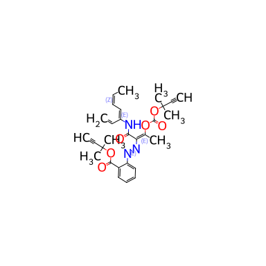 C#CC(C)(C)OC(=O)O/C(C)=C(/N=N/c1ccccc1C(=O)OC(C)(C)C#C)C(=O)N/C(C=C)=C/C=C\C